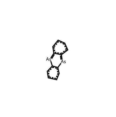 c1ccc2c(c1)[As]=c1ccccc1=[As]2